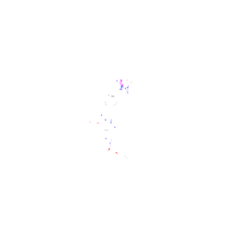 CC(C)(C)OC(=O)N1CCc2c(ncn(Cc3ccc(-c4noc(C(F)(F)F)n4)cc3)c2=O)C1